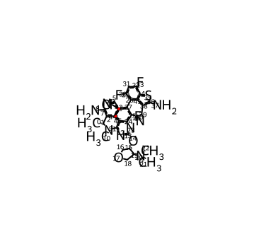 C[C@H](c1cccnc1N)N(C)c1nc(O[C@H]2COC[C@@H]2N(C)C)nc2c(F)c(-c3c(F)cc(F)c4sc(N)c(C#N)c34)c(Cl)cc12